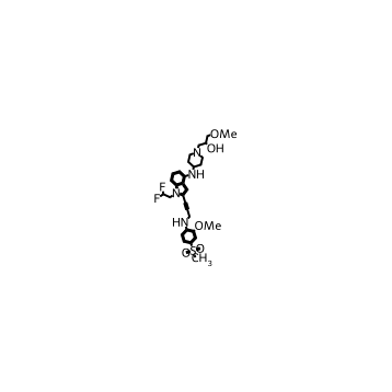 COCC(O)CN1CCC(Nc2cccc3c2cc(C#CCNc2ccc(S(C)(=O)=O)cc2OC)n3CC(F)F)CC1